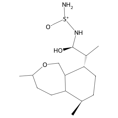 CC1CCC2C(CO1)[C@H](C(C)[C@@H](O)N[S+](N)[O-])CC[C@H]2C